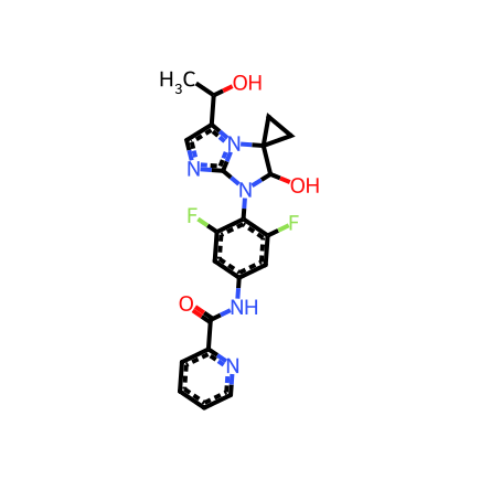 CC(O)c1cnc2n1C1(CC1)C(O)N2c1c(F)cc(NC(=O)c2ccccn2)cc1F